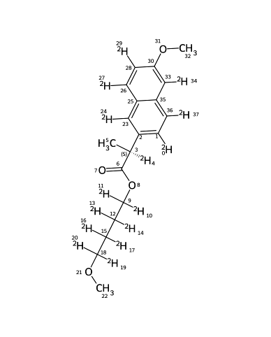 [2H]c1c([C@]([2H])(C)C(=O)OC([2H])([2H])C([2H])([2H])C([2H])([2H])C([2H])([2H])OC)c([2H])c2c([2H])c([2H])c(OC)c([2H])c2c1[2H]